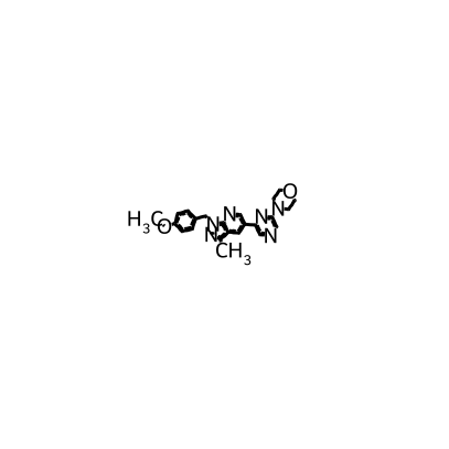 COc1ccc(Cn2nc(C)c3cc(-c4cncc(N5CCOCC5)n4)cnc32)cc1